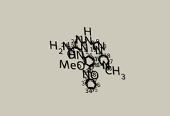 COc1c(Nc2nc(Nc3cnn(C4CCN(C)CC4)c3)ncc2C(N)=O)cccc1-c1nc2ccccc2o1